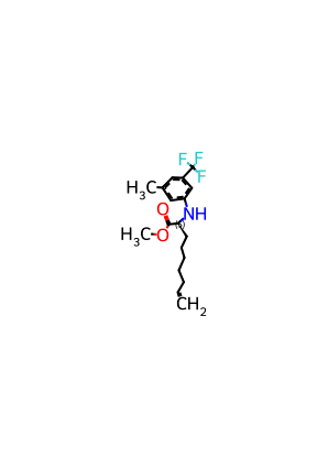 C=CCCCCC[C@H](Nc1cc(C)cc(C(F)(F)F)c1)C(=O)OC